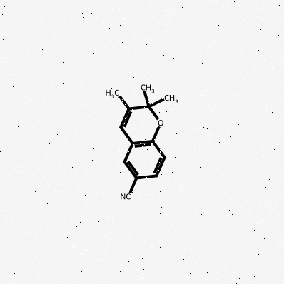 CC1=Cc2cc(C#N)ccc2OC1(C)C